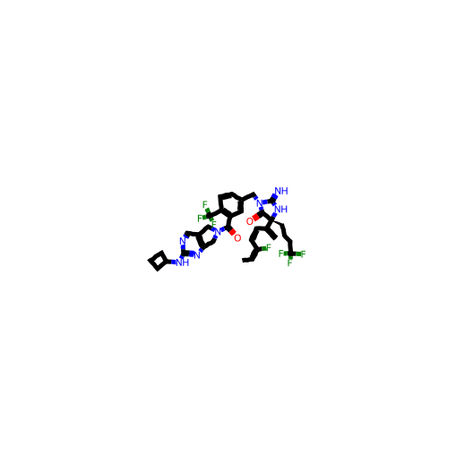 C=C(/C=C\C(F)=C/C)[C@@]1(CCCC(F)(F)F)NC(=N)N(Cc2ccc(C(F)(F)F)c(C(=O)N3Cc4cnc(NC5CCC5)nc4C3)c2)C1=O